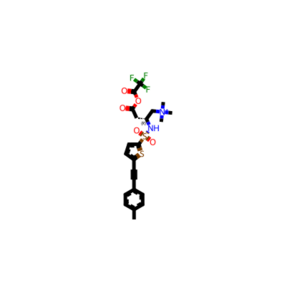 Cc1ccc(C#Cc2ccc(S(=O)(=O)N[C@H](CC(=O)OC(=O)C(F)(F)F)C[N+](C)(C)C)s2)cc1